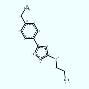 NCCOc1cc(-c2ccc(CN)cc2)on1